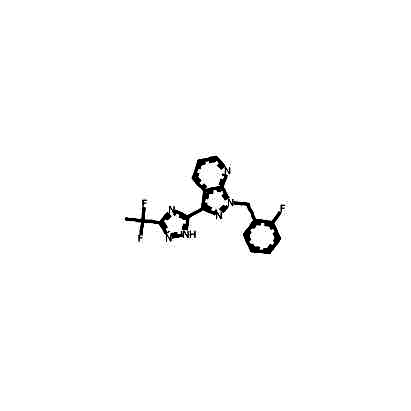 CC(F)(F)c1n[nH]c(-c2nn(Cc3ccccc3F)c3ncccc23)n1